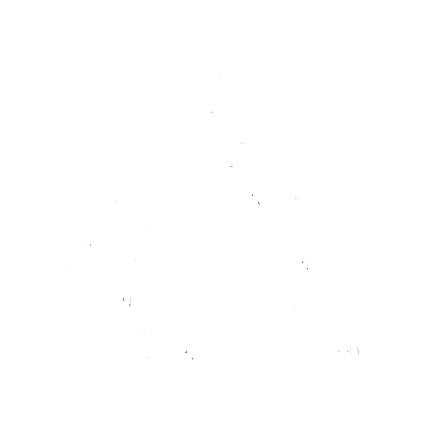 OC1CCN(C2CN(C(c3ccccc3)c3ccccc3)C2)C1.OC1CCN(C2CNC2)C1